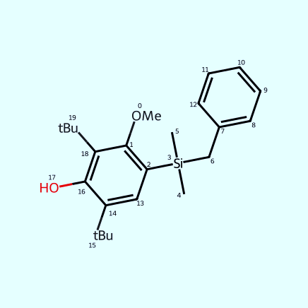 COc1c([Si](C)(C)Cc2ccccc2)cc(C(C)(C)C)c(O)c1C(C)(C)C